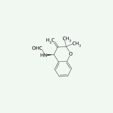 C=C1[C@H](NC=O)c2ccccc2OC1(C)C